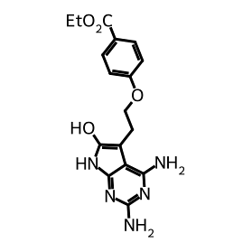 CCOC(=O)c1ccc(OCCc2c(O)[nH]c3nc(N)nc(N)c23)cc1